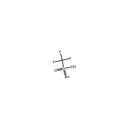 B=S(=O)(O)C(F)(F)F